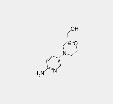 Nc1ccc(N2CCO[C@@H](CO)C2)cn1